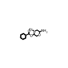 CCN1CC(N)OCC1OC(=O)c1ccccc1